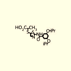 CC(C)Oc1cc(OC(C)C)cc(C(=O)Nc2ncc(SC(C)C(=O)O)s2)c1